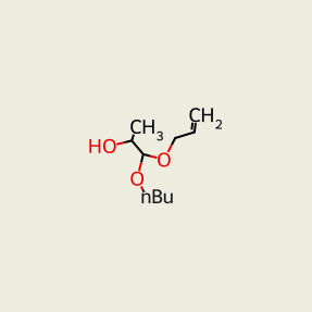 C=CCOC(OCCCC)C(C)O